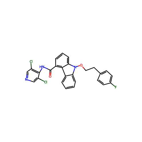 O=C(Nc1c(Cl)cncc1Cl)c1cccc2c1c1ccccc1n2OCCc1ccc(F)cc1